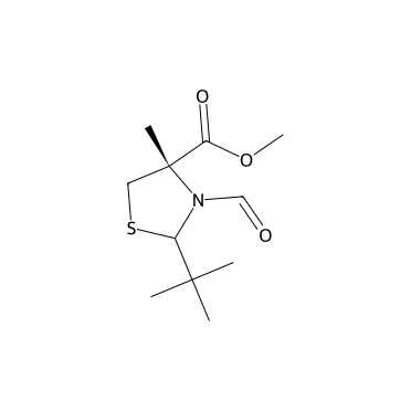 COC(=O)[C@@]1(C)CSC(C(C)(C)C)N1C=O